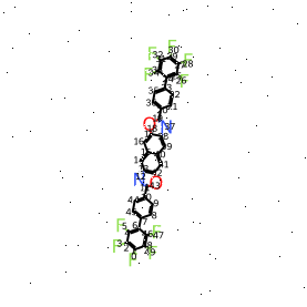 Fc1c(F)c(F)c(-c2ccc(-c3nc4cc5cc6oc(-c7ccc(-c8c(F)c(F)c(F)c(F)c8F)cc7)nc6cc5cc4o3)cc2)c(F)c1F